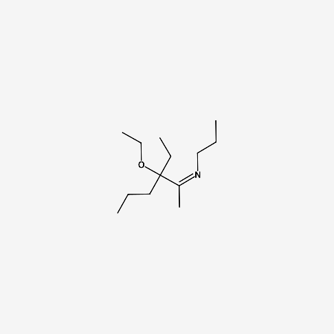 CCCN=C(C)C(CC)(CCC)OCC